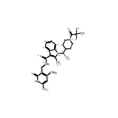 COc1cc(C)[nH]c(=O)c1CNC(=O)c1c(C)n([C@H](C)C2CCN(C(=O)C(C)(F)F)CC2)c2ccccc12